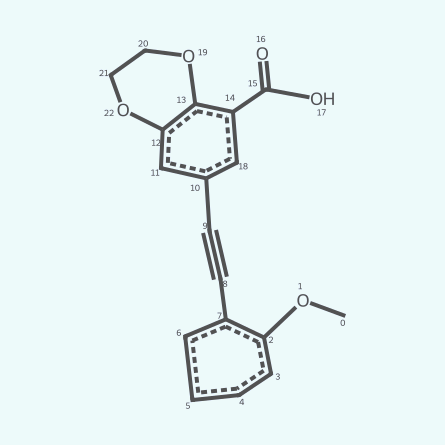 COc1ccccc1C#Cc1cc2c(c(C(=O)O)c1)OCCO2